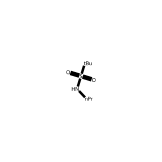 [CH2]CCNS(=O)(=O)C(C)(C)C